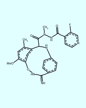 COc1cc(C)c2cc1ONC(=N)c1ccc(cc1)NC2C(=O)N(C)NC(=O)c1ccncc1F